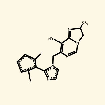 CCCC1=C(Cn2ccnc2-c2c(F)cccc2F)N=CN2CC(C(F)(F)F)N=C12